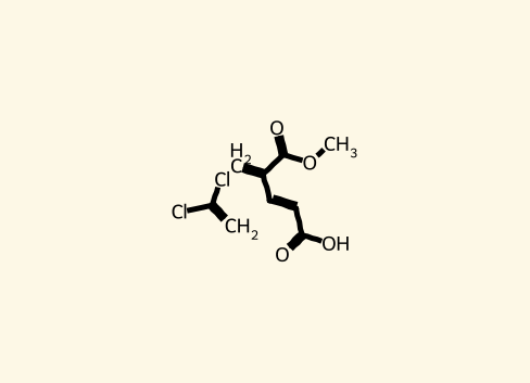 C=C(C=CC(=O)O)C(=O)OC.C=C(Cl)Cl